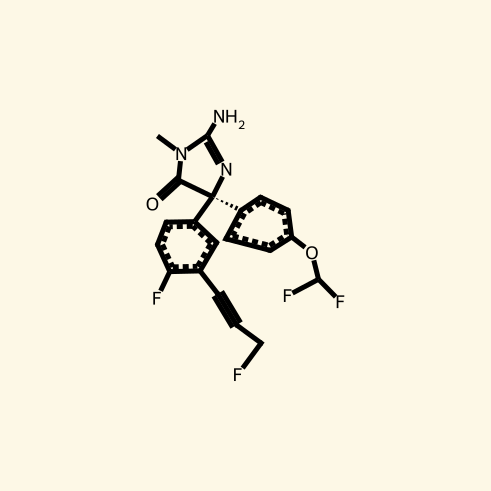 CN1C(=O)[C@](c2ccc(OC(F)F)cc2)(c2ccc(F)c(C#CCF)c2)N=C1N